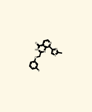 Cc1nc(-c2nccc3c(=O)[nH]c(COc4cccc(F)c4)nc23)cs1